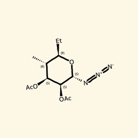 CC[C@H]1O[C@H](N=[N+]=[N-])[C@@H](OC(C)=O)[C@@H](OC(C)=O)[C@@H]1C